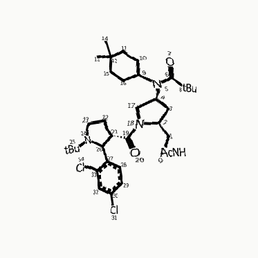 CC(=O)NC[C@@H]1C[C@H](N(C(=O)C(C)(C)C)C2CCC(C)(C)CC2)CN1C(=O)[C@H]1CCN(C(C)(C)C)C1c1ccc(Cl)cc1Cl